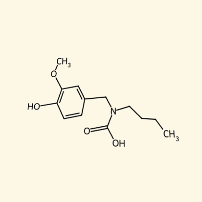 CCCCN(Cc1ccc(O)c(OC)c1)C(=O)O